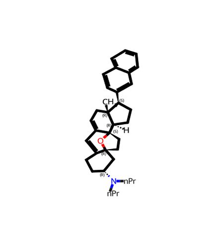 CCCN(CCC)[C@@H]1CCC2=CC3=CC[C@]4(C)[C@@H](c5ccc6ccccc6c5)CC[C@H]4[C@@]34CC[C@]2(C1)O4